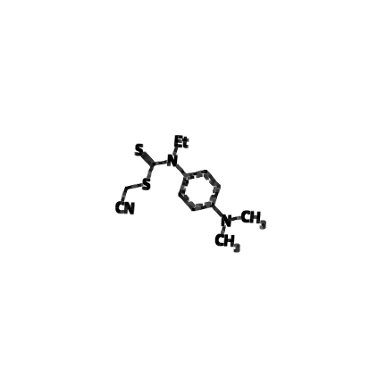 CCN(C(=S)SCC#N)c1ccc(N(C)C)cc1